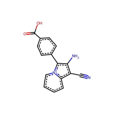 N#Cc1c(N)c(-c2ccc(C(=O)O)cc2)n2ccccc12